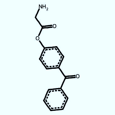 NCC(=O)Oc1ccc(C(=O)c2ccccc2)cc1